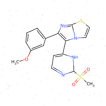 COc1cccc(-c2nc3sccn3c2C2=CC=NC(S(C)(=O)=O)N2)c1